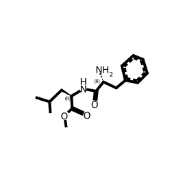 COC(=O)[C@@H](CC(C)C)NC(=O)[C@H](N)Cc1ccccc1